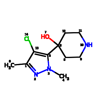 Cc1nn(C)c(C2(O)CCNCC2)c1Cl